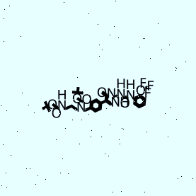 CC(C)(C)OC(=O)NCCCN(Cc1ccc(-c2c[nH]c(NC(=O)Nc3ccccc3OC(F)(F)F)nc2=O)cc1)C(=O)OC(C)(C)C